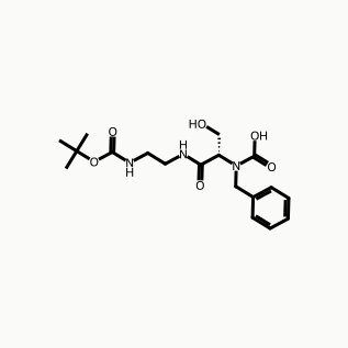 CC(C)(C)OC(=O)NCCNC(=O)[C@H](CO)N(Cc1ccccc1)C(=O)O